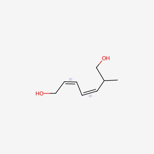 CC(/C=C\C=C/CO)CO